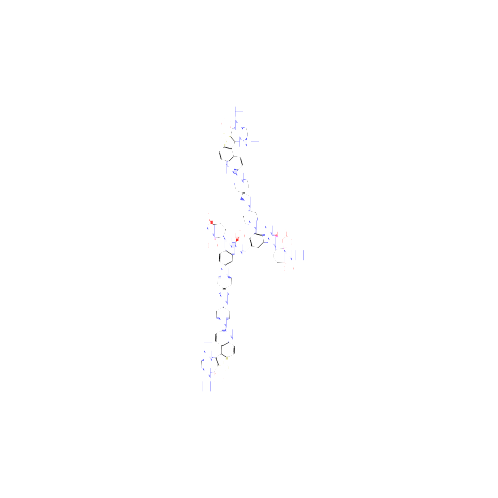 C[C@@H]1CNc2c(sc3ccc4nc(N5CCC(N6CC7(CCN(c8ccc9c(c8)n(Cc8cc(N%10CCC(N%11CC%12(CCN(c%13ccc%14c(ccc%15sc%16c(c%15%14)NC[C@@H](C)NC%16=O)n%13)CC%12)C%11)CC%10)c%10c(c8)n(C8CCC(=O)NC8=O)c(=O)n%10C)c(=O)n9C8CCC(=O)NC8=O)CC7)C6)CC5)ccc4c23)C(=O)N1